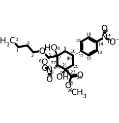 CCCCOC(=O)[C@]1(O)C[C@H](c2ccc([N+](=O)[O-])cc2)C[C@](O)(C(=O)OC)[C@H]1[N+](=O)[O-]